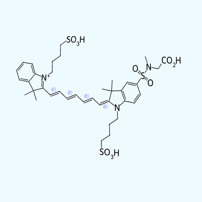 CN(CC(=O)O)S(=O)(=O)c1ccc2c(c1)C(C)(C)\C(=C/C=C/C=C/C=C/C1=[N+](CCCCS(=O)(=O)O)c3ccccc3C1(C)C)N2CCCCS(=O)(=O)O